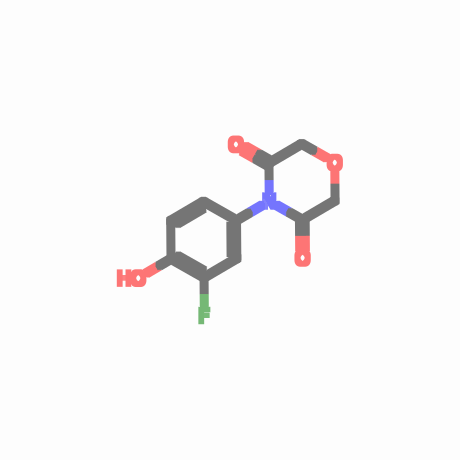 O=C1COCC(=O)N1c1ccc(O)c(F)c1